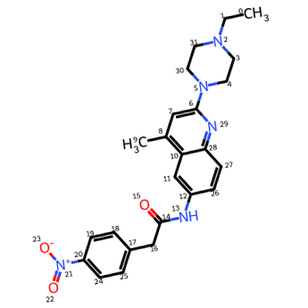 CCN1CCN(c2cc(C)c3cc(NC(=O)Cc4ccc([N+](=O)[O-])cc4)ccc3n2)CC1